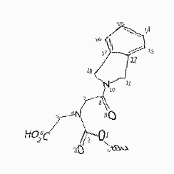 CC(C)(C)OC(=O)N(CC(=O)O)CC(=O)N1Cc2ccccc2C1